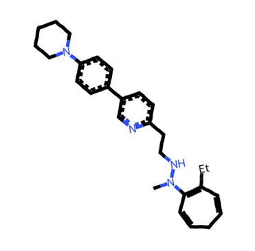 CCC1=C(N(C)NCCc2ccc(-c3ccc(N4CCCCC4)cc3)cn2)C=CCC=C1